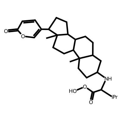 CC(C)C(NC1CCC2(C)C(CCC3C2CCC2(C)C(c4ccc(=O)oc4)CCC32)C1)C(=O)OO